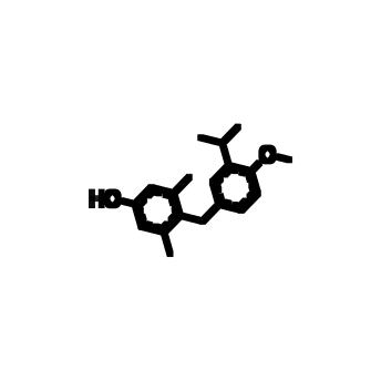 COc1ccc(Cc2c(C)cc(O)cc2C)cc1C(C)C